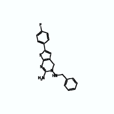 NC1=Nc2sc(-c3ccc(F)cc3)cc2CN1NCc1ccccc1